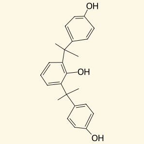 CC(C)(c1ccc(O)cc1)c1cccc(C(C)(C)c2ccc(O)cc2)c1O